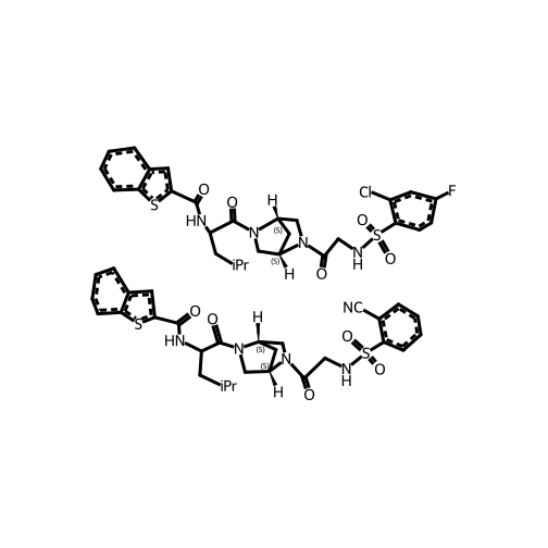 CC(C)CC(NC(=O)c1cc2ccccc2s1)C(=O)N1C[C@@H]2C[C@H]1CN2C(=O)CNS(=O)(=O)c1ccc(F)cc1Cl.CC(C)CC(NC(=O)c1cc2ccccc2s1)C(=O)N1C[C@@H]2C[C@H]1CN2C(=O)CNS(=O)(=O)c1ccccc1C#N